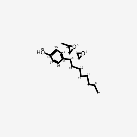 C1CO1.CC1CO1.CCCCCCCCc1ccc(O)cc1